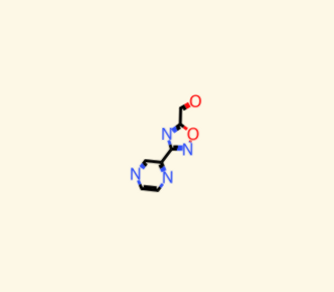 O=Cc1nc(-c2cnccn2)no1